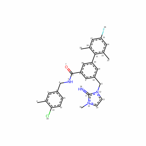 Cc1cc(CNC(=O)c2cc(Cn3ccn(C)c3=N)cc(-c3c(C)cc(F)cc3C)c2)ccc1Cl